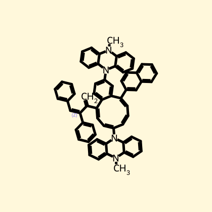 C=C(/C(=C\c1ccccc1)c1ccccc1)c1ccc(N2c3ccccc3N(C)c3ccccc32)cccc(-c2ccc3ccccc3c2)c2cc(N3c4ccccc4N(C)c4ccccc43)ccc12